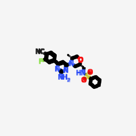 C[C@@H]1CO[C@H](CNS(=O)(=O)C2CCCCC2)CN1c1cc(-c2ccc(C#N)c(F)c2)nc(N)n1